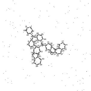 c1ccc(-n2c3ccccc3c3c(N(c4ccc5c(c4)oc4ccc6ccccc6c45)c4ccc5sc6ccccc6c5c4)cccc32)cc1